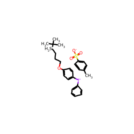 CC(C)(C)[SiH2]CCCOc1ccc([I+]c2ccccc2)cc1.Cc1ccc(S(=O)(=O)[O-])cc1